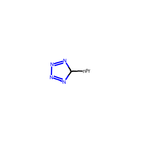 CCCC1N=NN=N1